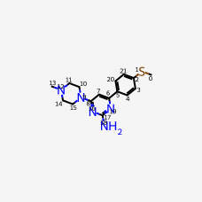 CSc1ccc(-c2cc(N3CCN(C)CC3)nc(N)n2)cc1